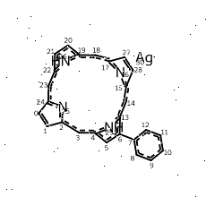 C1=Cc2cc3cc(-c4ccccc4)c(cc4nc(cc5ccc(cc1n2)[nH]5)C=C4)[nH]3.[Ag]